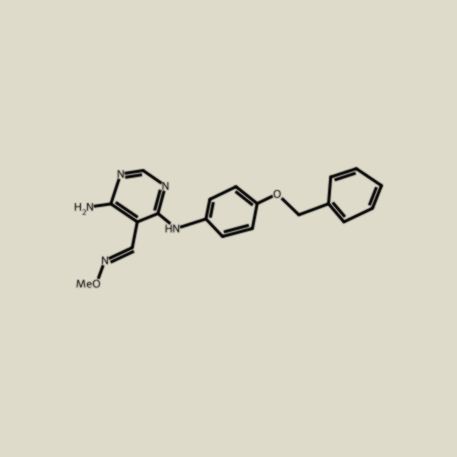 CON=Cc1c(N)ncnc1Nc1ccc(OCc2ccccc2)cc1